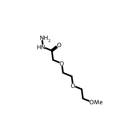 COCCOCCOCC(=O)NN